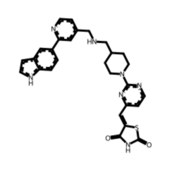 O=C1NC(=O)/C(=C/c2ccnc(N3CCC(CNCc4ccnc(-c5ccc6[nH]ccc6c5)c4)CC3)n2)S1